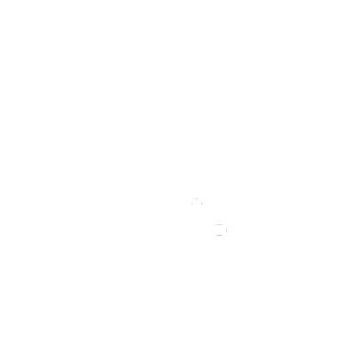 CCOC(Cc1cc(C)cc(C)c1)c1ccccc1